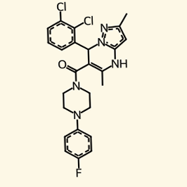 CC1=C(C(=O)N2CCN(c3ccc(F)cc3)CC2)C(c2cccc(Cl)c2Cl)n2nc(C)cc2N1